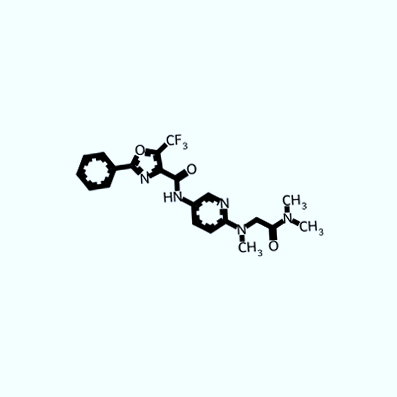 CN(C)C(=O)CN(C)c1ccc(NC(=O)c2nc(-c3ccccc3)oc2C(F)(F)F)cn1